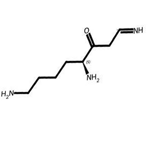 N=[C]CC(=O)[C@@H](N)CCCCN